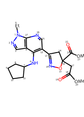 CCn1ncc2c(NC3CCCC3)c(C3=NOC(CC(=O)OC)(C(=O)OC)C3)cnc21